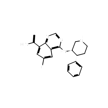 NC(=O)c1cc(F)cc2c(N[C@H]3CNCC[C@@H]3c3ccccc3)ncnc12